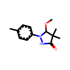 COC1N(c2ccc(C)cc2)NC(=O)C1(C)C